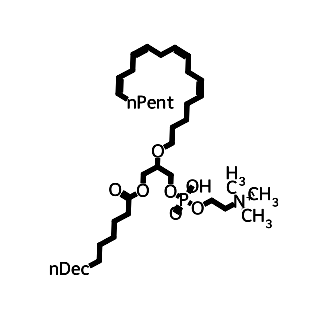 CCCCC/C=C\C/C=C\C/C=C\C/C=C\CCCCOC(COC(=O)CCCCCCCCCCCCCCC)COP(=O)(O)OCC[N+](C)(C)C